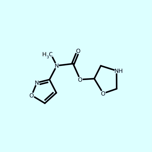 CN(C(=O)OC1CNCO1)c1ccon1